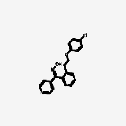 ON=C(c1ccncc1)c1ccccc1CCOc1ccc(Cl)cc1